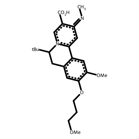 C/N=c1/cc2n(cc1C(=O)O)C(C(C)(C)C)Cc1cc(OCCCOC)c(OC)cc1-2